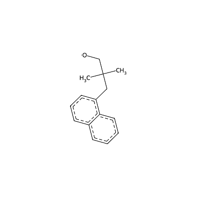 CC(C)(C[O])Cc1cccc2ccccc12